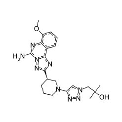 COc1cccc2c1nc(N)n1nc([C@@H]3CCCN(c4cn(CC(C)(C)O)nn4)C3)nc21